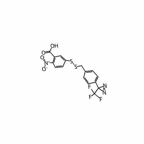 O=C(O)c1cc(SSCc2ccc(C3(C(F)(F)F)N=N3)cc2)ccc1[N+](=O)[O-]